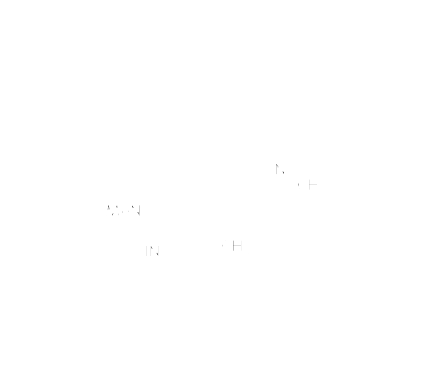 CN/C=C(\C=N)c1cc2c(cc1C)N(C)CCC2